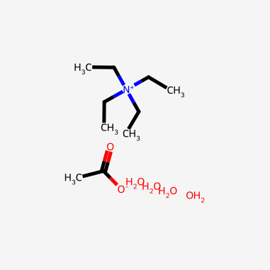 CC(=O)[O-].CC[N+](CC)(CC)CC.O.O.O.O